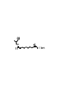 CCCCCCC1OC1CCCCCCCC(=O)OCC(C)CO